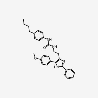 CCCCc1ccc(NC(=O)NCCc2nc(-c3ccccc3)[nH]c2-c2ccc(OC)cc2)cc1